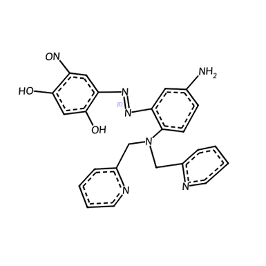 Nc1ccc(N(Cc2ccccn2)Cc2ccccn2)c(/N=N/c2cc(N=O)c(O)cc2O)c1